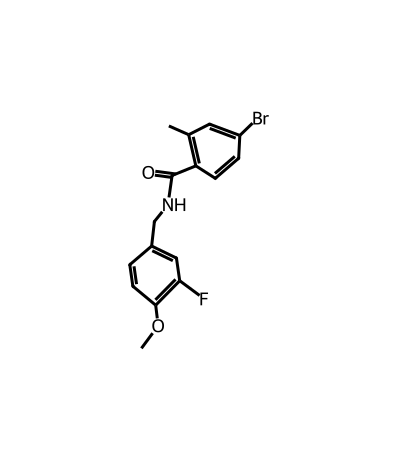 COc1ccc(CNC(=O)c2ccc(Br)cc2C)cc1F